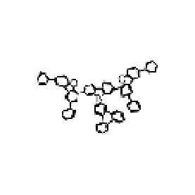 c1ccc(-c2ccc3oc4c(-c5ccc6c7ccc(-c8cc(-c9ccccc9)cc9c8oc8ccc(-c%10ccccc%10)cc89)cc7n(-c7ccc8c9ccccc9c9ccccc9c8c7)c6c5)cc(-c5ccccc5)cc4c3c2)cc1